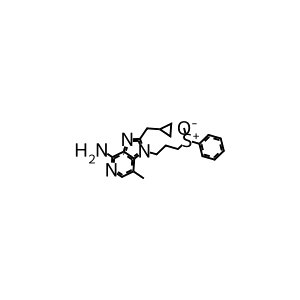 Cc1cnc(N)c2nc(CC3CC3)n(CCC[S+]([O-])c3ccccc3)c12